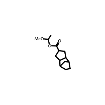 COC(C)OC(=O)C1CC2C3CCC(C3)C2C1